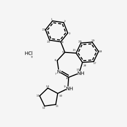 Cl.c1ccc(C2CN=C(NC3CCCC3)Nc3ccccc32)cc1